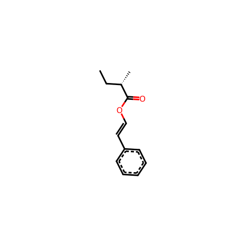 CC[C@H](C)C(=O)OC=Cc1ccccc1